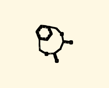 O=C1CC(=O)OCc2ccc(cc2)CO1